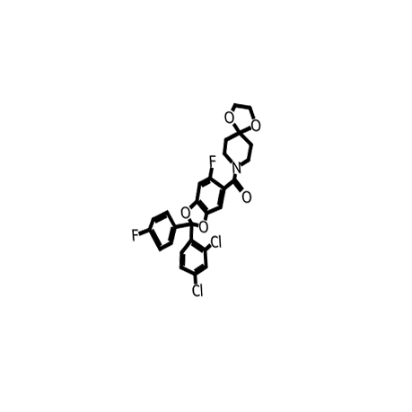 O=C(c1cc2c(cc1F)OC(c1ccc(F)cc1)(c1ccc(Cl)cc1Cl)O2)N1CCC2(CC1)OCCO2